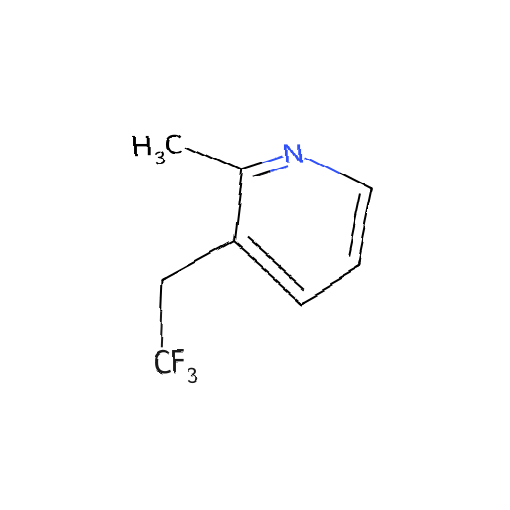 Cc1ncccc1CC(F)(F)F